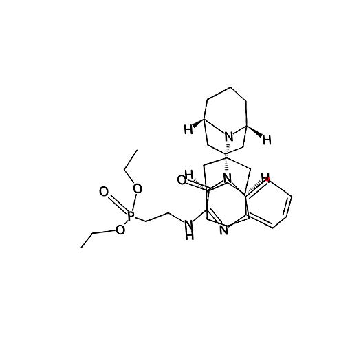 CCOP(=O)(CCNc1nc2ccccc2n([C@H]2C[C@H]3CCC[C@@H](C2)N3[C@H]2C[C@@H]3CCC[C@@H](C3)C2)c1=O)OCC